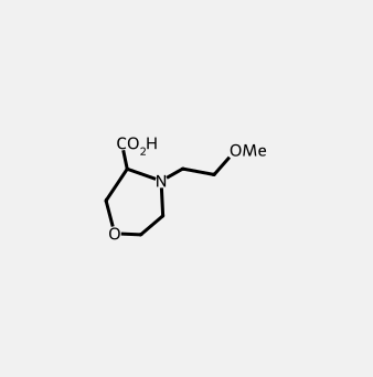 COCCN1CCOCC1C(=O)O